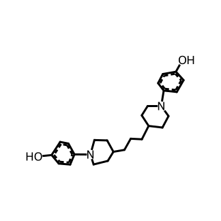 Oc1ccc(N2CCC(CCCC3CCN(c4ccc(O)cc4)CC3)CC2)cc1